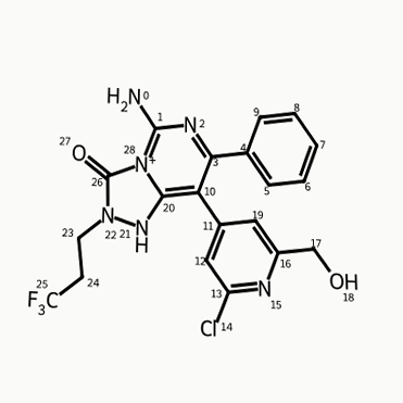 Nc1nc(-c2ccccc2)c(-c2cc(Cl)nc(CO)c2)c2[nH]n(CCC(F)(F)F)c(=O)[n+]12